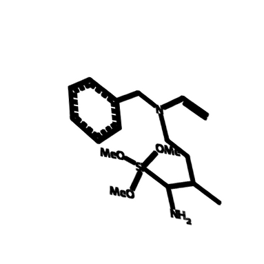 C=CN(CCC(C)C(N)[Si](OC)(OC)OC)Cc1ccccc1